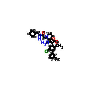 CC(=O)c1cccc(-c2cc(C)c(C3=C(N)C4(CCCN(CC(=O)NCc5ccccc5)C4)OC3=O)cc2Cl)c1